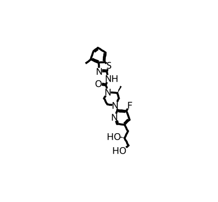 Cc1cccc2sc(NC(=O)N3CCN(c4ncc(C[C@@H](O)CO)cc4F)C[C@@H]3C)nc12